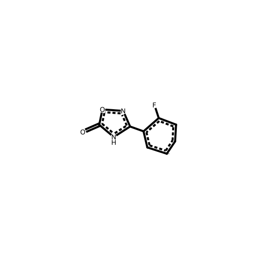 O=c1[nH]c(-c2c[c]ccc2F)no1